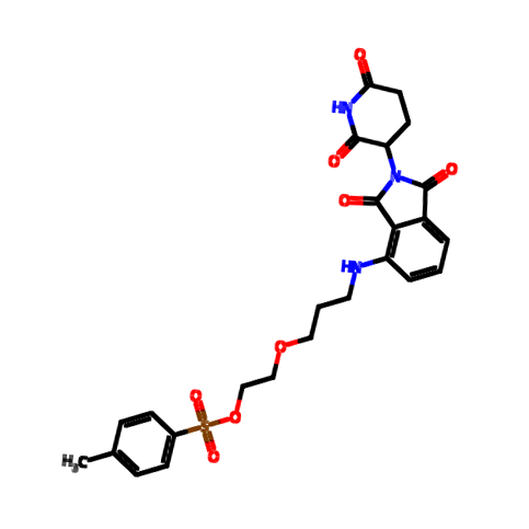 Cc1ccc(S(=O)(=O)OCCOCCCNc2cccc3c2C(=O)N(C2CCC(=O)NC2=O)C3=O)cc1